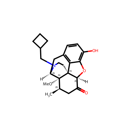 CO[C@@]12[C@H](C)CC(=O)[C@@H]3Oc4c(O)ccc5c4[C@@]31CCN(CC1CCC1)[C@@H]2C5